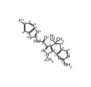 Cn1nc(C(=O)Nc2nc3ccc(F)cc3s2)c2c1-c1nc(N)ncc1CC2(C)C